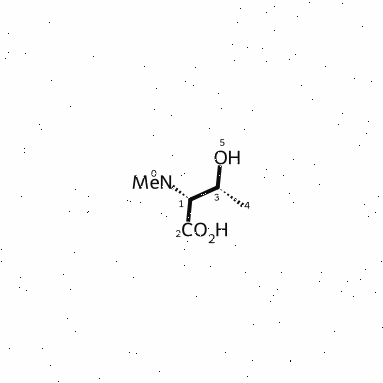 CN[C@@H](C(=O)O)[C@@H](C)O